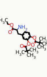 CCOC(=O)[C@@H](N)Cc1ccc(OC(=O)C(C)(C)C)c(OC(=O)C(C)(C)C)c1